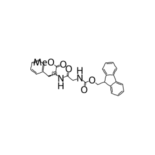 COC(=O)[C@H](Cc1ccccc1)NC(=O)CNC(=O)OCC1c2ccccc2-c2ccccc21